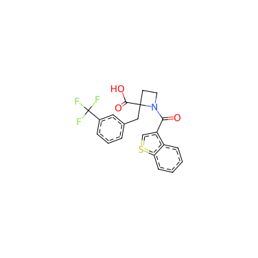 O=C(c1csc2ccccc12)N1CCC1(Cc1cccc(C(F)(F)F)c1)C(=O)O